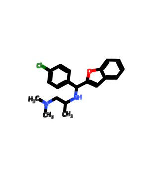 CC(CN(C)C)NC(c1ccc(Cl)cc1)c1cc2ccccc2o1